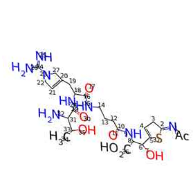 CC(=O)N=C1CC=C(C(O)C(NC(=O)CCCNC(=O)C(CC2=CCN(C(=N)N)C2)NC(=O)C(N)C(C)O)C(=O)O)S1